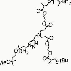 BC(C)CC(C)(C)SCC(C)C(=O)OCCOC(=O)CCN(CCC(=O)OCCOC(=O)C(C)CSC(C)(C)C)Cc1cn(CCC(B)(C)OCCC(C)(C)OC)nn1